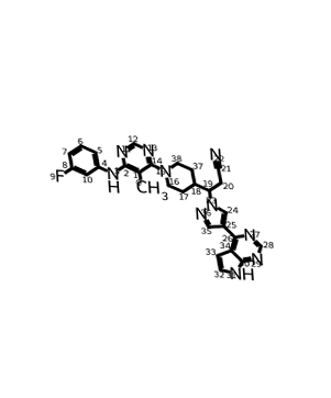 Cc1c(Nc2cccc(F)c2)ncnc1N1CCC(C(CC#N)n2cc(-c3ncnc4[nH]ccc34)cn2)CC1